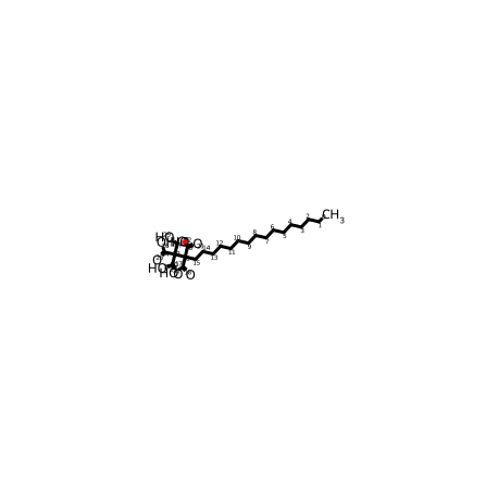 CCCCCCCCCCCCCCCCC(C(=O)O)(C(=O)O)C(C(=O)O)(C(=O)O)C(=O)O